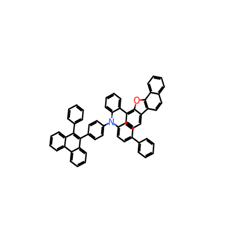 c1ccc(-c2ccc(N(c3ccc(-c4c(-c5ccccc5)c5ccccc5c5ccccc45)cc3)c3ccccc3-c3cccc4c3oc3c5ccccc5ccc43)cc2)cc1